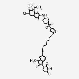 CC(C)n1c(=O)c(Cl)cc2cnc(NC3CCN(S(=O)(=O)c4cnn(CCCCCCC#Cc5ccc6c(c5)n(C)c(=O)n6C5CCC(=O)NC5=O)c4)CC3)nc21